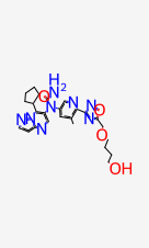 Cc1cc(N(C(N)=O)c2cnc3ccnn3c2C2CCCC2)cnc1-c1noc(COCCCCO)n1